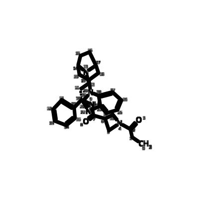 CCC(=O)N1CC(C(=O)N[C@@H](CCN2C3CCC2CC(n2cnc4ccccc42)C3)c2ccccc2)C1